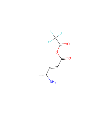 C[C@@H](N)/C=C/C(=O)OC(=O)C(F)(F)F